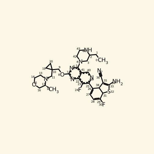 CCC1CN(c2nc(OCC3(CN4CCOC[C@@H]4C)CC3)nc3c(F)c(C4=CC=C(F)C5SC(N)=C(C#N)C45)ncc23)CCN1